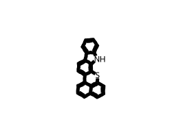 c1cc2c3c(cccc3c1)-c1ccc3c([nH]c4ccccc43)c1S2